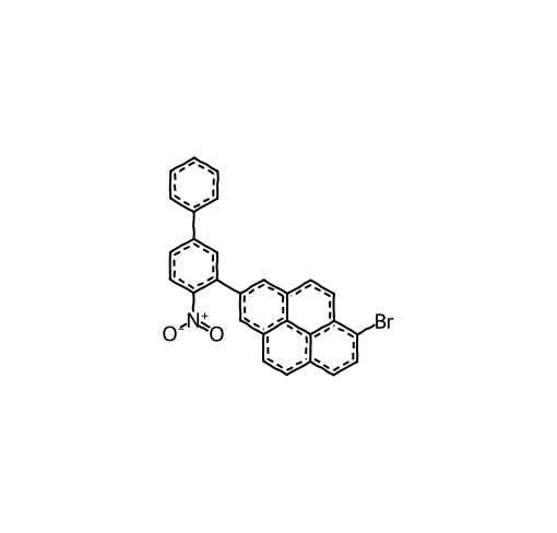 O=[N+]([O-])c1ccc(-c2ccccc2)cc1-c1cc2ccc3ccc(Br)c4ccc(c1)c2c34